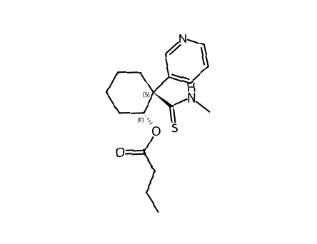 CCCC(=O)O[C@@H]1CCCC[C@]1(C(=S)NC)c1cccnc1